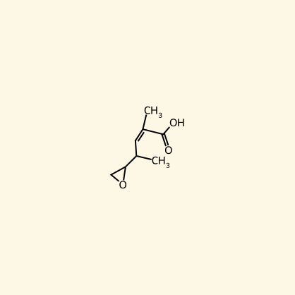 CC(=CC(C)C1CO1)C(=O)O